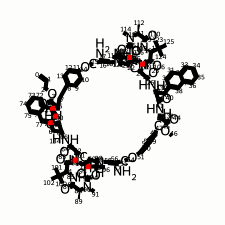 C=CCOC(=O)[C@@H]1Cc2ccc(cc2)OC/C(N)=C/N(N)[C@H]2C[C@@H](C(=O)N[C@@H](Cc3ccc4ccccc4c3)C(=O)N[C@H](C(=O)OC)Cc3ccc(cc3)OC/C(N)=C/N[C@H]3C[C@@H](C(=O)N[C@@H](Cc4ccc5ccccc5c4)C(=O)N1)N(C(=O)[C@@H](NC(=O)[C@H](C)N(C)C(=O)OC(C)(C)C)C(C)(C)C)C3)N(C(=O)[C@@H](NC(=O)[C@H](C)N(C)C(=O)OC(C)(C)C)C(C)(C)C)C2